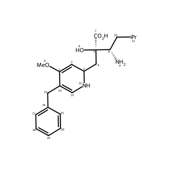 COC1=CC(C[C@](O)(C(=O)O)[C@@H](N)CC(C)C)NC=C1Cc1ccccc1